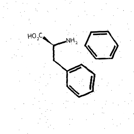 N[C@@H](Cc1ccccc1)C(=O)O.c1ccccc1